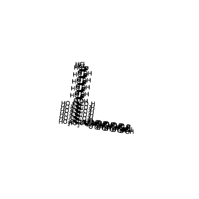 Cl.Cl.Cl.Cl.O=C(O)/C=C/C(=O)O.O=C(O)/C=C/C(=O)O.O=C(O)/C=C/C(=O)O.O=C(O)/C=C/C(=O)O.O=C(O)/C=C/C(=O)O.O=C(O)/C=C/C(=O)O.O=C(O)/C=C/C(=O)O.O=C(O)C(=O)O.O=C(O)C(=O)O.O=C(O)C(=O)O.O=C(O)C(=O)O.O=C(O)C(=O)O.O=C(O)C(=O)O.O=C(O)C(=O)O.O=C(O)C(=O)O.O=C(O)C(=O)O.O=C(O)C(=O)O